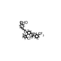 Cn1ncc(Cl)c1-c1cc(NC(=O)c2cccc(C(F)(F)F)c2)ccc1OCCN1CCN(C=O)CC1